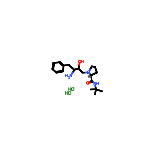 CC(C)(C)NC(=O)[C@@H]1CCCN1CC(O)C(N)Cc1ccccc1.Cl.Cl